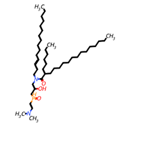 CCCCCCCCCCCC=CCCN(CC(O)C[PH](=O)CCN(C)C)C(=O)C(CCCCCC)CCCCCCCCCCCCCC